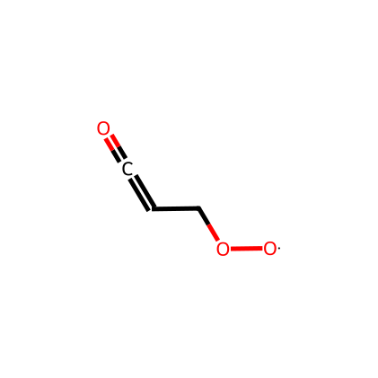 [O]OCC=C=O